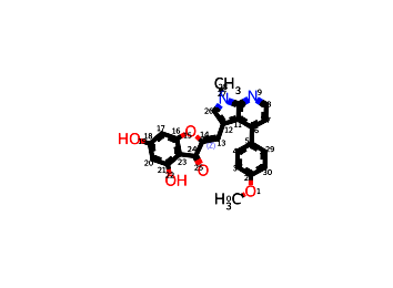 COc1ccc(-c2ccnc3c2c(/C=C2\Oc4cc(O)cc(O)c4C2=O)cn3C)cc1